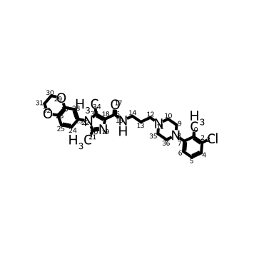 Cc1c(Cl)cccc1N1CCN(CCCNC(=O)c2nc(C)n(-c3ccc4c(c3)OCCO4)c2C)CC1